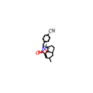 CC1C=C2C(=O)N(Cc3ccc(C#N)cc3)[C@@H]3CCC(C1)[C@]23O